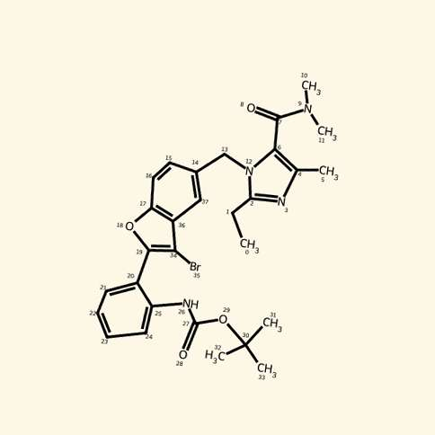 CCc1nc(C)c(C(=O)N(C)C)n1Cc1ccc2oc(-c3ccccc3NC(=O)OC(C)(C)C)c(Br)c2c1